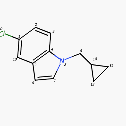 Clc1ccc2c(ccn2CC2CC2)c1